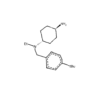 CCN(Cc1ccc(C(C)(C)C)cc1)[C@H]1CC[C@H](N)CC1